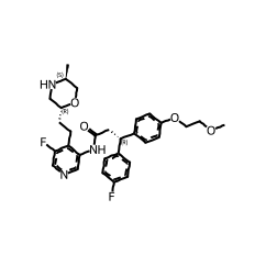 COCCOc1ccc([C@@H](CC(=O)Nc2cncc(F)c2CC[C@@H]2CN[C@@H](C)CO2)c2ccc(F)cc2)cc1